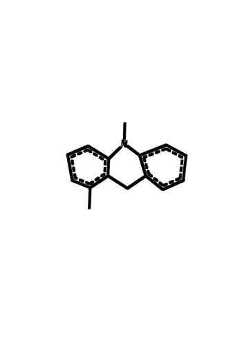 Cc1cccc2c1Cc1ccccc1N2C